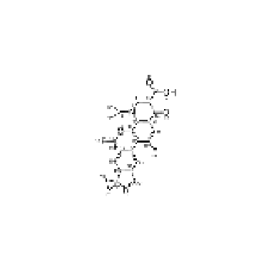 O=C(O)c1cn(C2CC2)c2c(OC(F)F)c(-c3ccc4c(c3)C=NC43CC3)c(F)cc2c1=O